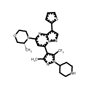 Cc1nn(C2CCNCC2)c(C(F)(F)F)c1-c1cc(N2CCOC[C@H]2C)nc2c(-c3cccs3)cnn12